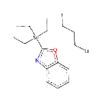 C[CH2][Sn]([CH2]C)([CH2]C)[c]1nc2ccccc2o1.[Li][CH2]CCC